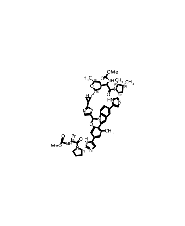 COC(=O)NC(C(=O)N1[C@H](C)[C@H](C)C[C@H]1c1ncc(-c2ccc3c(c2)cc2n3C(c3cnc(C4CC4)s3)Oc3cc(-c4cnc([C@@H]5CCCN5C(=O)[C@@H](NC(=O)OC)C(C)C)[nH]4)cc(C)c3-2)[nH]1)C1C[C@@H](C)O[C@@H](C)C1